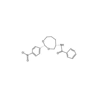 O=C(N[C@H]1CCCO[C@@H](c2ccc([N+](=O)[O-])cc2)OC1)c1ccccc1